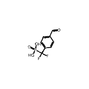 O=Cc1ccc(C(F)(F)P(=O)(O)O)cc1